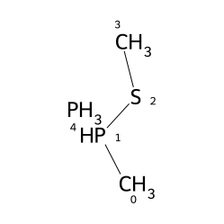 CPSC.P